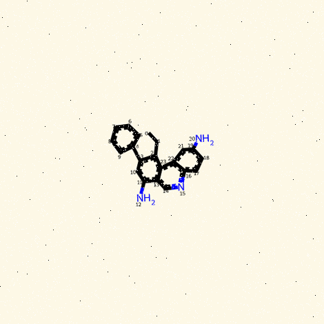 CCc1c(-c2ccccc2)cc(N)c2cnc3ccc(N)cc3c12